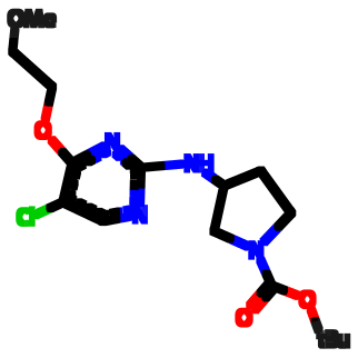 COCCOc1nc(NC2CCN(C(=O)OC(C)(C)C)C2)ncc1Cl